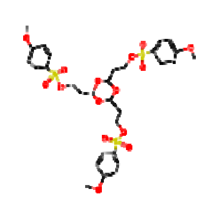 COc1ccc(S(=O)(=O)OCCC2OC(CCOS(=O)(=O)c3ccc(OC)cc3)OC(CCOS(=O)(=O)c3ccc(OC)cc3)O2)cc1